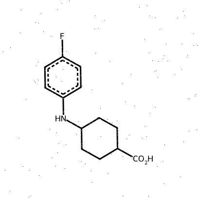 O=C(O)C1CCC(Nc2ccc(F)cc2)CC1